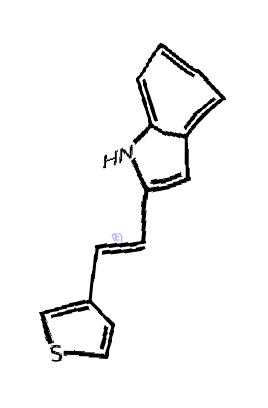 C(=C\c1cc2ccccc2[nH]1)/c1ccsc1